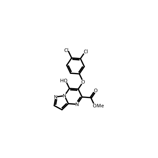 COC(=O)c1nc2ccnn2c(O)c1Oc1ccc(Cl)c(Cl)c1